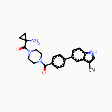 N#Cc1c[nH]c2ccc(-c3ccc(C(=O)N4CCN(C(=O)C5(N)CC5)CC4)cc3)cc12